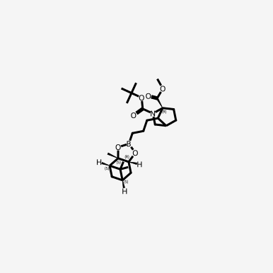 COC(=O)[C@]12CCC(CN1C(=O)OC(C)(C)C)C2CCCB1O[C@@H]2C[C@@H]3C[C@@H](C3(C)C)[C@]2(C)O1